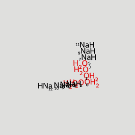 O.O.O.O.O.O.[NaH].[NaH].[NaH].[NaH].[NaH].[NaH].[NaH]